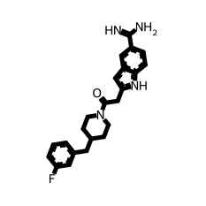 N=C(N)c1ccc2[nH]c(CC(=O)N3CCC(Cc4cccc(F)c4)CC3)cc2c1